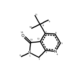 CN1Cc2nccc(C(C)(C)C)c2C1=O